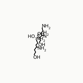 NCCCC(N)CCCO.NCCCC(N)CCCO.O=S(=O)(O)O